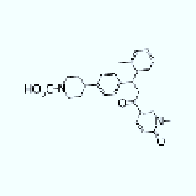 Cc1ccccc1C(CC(=O)c1ccc(=O)n(C)c1)c1ccc(C2CCN(C(=O)O)CC2)cc1